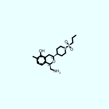 CCCS(=O)(=O)N1CCC([C@@H]2Cc3c(ccc(C)c3O)[C@H](CN)O2)CC1